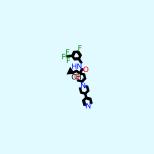 CC1(CC2(C(=O)NCc3cc(F)cc(C(F)(F)F)c3)CCC(N3CCC(c4ccncc4)CC3)CO2)CC1